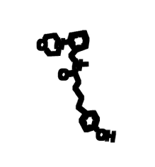 CN(Cc1ccccc1N1CCOCC1)C(=O)CCCCc1ccc(O)cc1